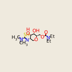 CCN(CC)C(=O)OC[C@H]1OC[C@H](/N=C(\S)N(C)C)[C@@H](O)[C@@H]1O